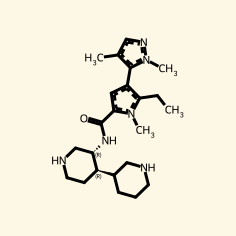 CCc1c(-c2c(C)cnn2C)cc(C(=O)N[C@H]2CNCC[C@@H]2C2CCCNC2)n1C